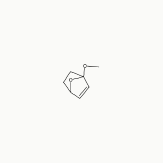 COC12C=CC(CC1)O2